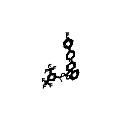 C[C@@H](OC(=O)C1(c2ccccc2)CCC(N2CCC(c3ccc(F)cc3)CC2)CC1)c1cc(C(F)(F)F)cc(C(F)(F)F)c1